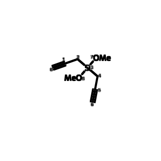 C#CC[Si](CC#C)(OC)OC